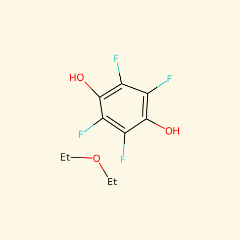 CCOCC.Oc1c(F)c(F)c(O)c(F)c1F